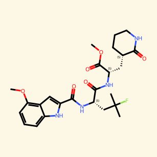 COC(=O)[C@H](C[C@@H]1CCCNC1=O)NC(=O)[C@H](CC(C)(C)F)NC(=O)c1cc2c(OC)cccc2[nH]1